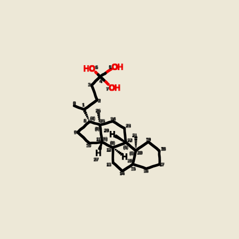 CC(CCC(O)(O)O)[C@H]1CC[C@H]2[C@@H]3CCC4CCCC[C@]4(C)[C@H]3CC[C@]12C